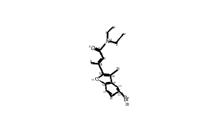 CCN(CC)C(=O)C=C(C)c1oc2ccc(Br)cc2c1C